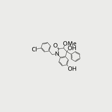 COC1C(=O)N(Cc2cccc(Cl)c2)c2ccc(O)cc2C1(O)c1ccccc1